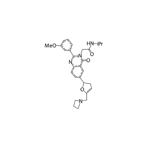 COc1cccc(-c2nc3ccc(C4CC=C(CN5CCC5)O4)cc3c(=O)n2CC(=O)NC(C)C)c1